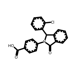 O=C(O)c1ccc(N2C(=O)c3ccccc3C2c2ccccc2Cl)cc1